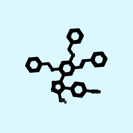 COc1ccc(-c2c(C)noc2-c2cc(C=Cc3ccccc3)c(OCc3ccccc3)cc2OCc2ccccc2)cc1